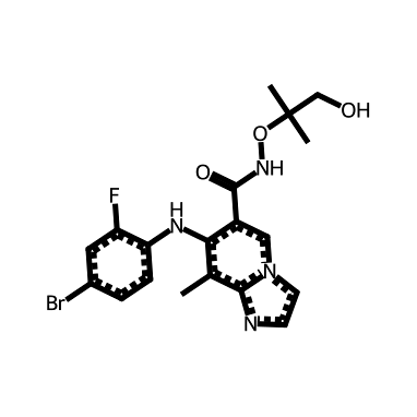 Cc1c(Nc2ccc(Br)cc2F)c(C(=O)NOC(C)(C)CO)cn2ccnc12